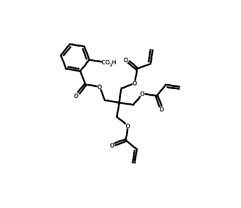 C=CC(=O)OCC(COC(=O)C=C)(COC(=O)C=C)COC(=O)c1ccccc1C(=O)O